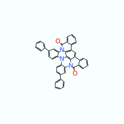 O=c1c2ccccc2c2cc3c4ccccc4c(=O)n4c3c3c2n1-c1cc(-c2ccccc2)ccc1N3c1ccc(-c2ccccc2)cc1-4